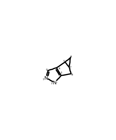 C1=N[N]C2=C1C1CC1C2